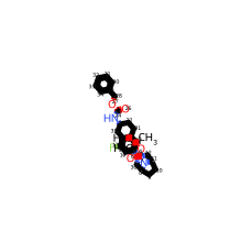 CC(C)(C)OC(=O)N1C2CCC1CN(c1cc(F)c3c(c1)CCC(NC(=O)OCc1ccccc1)C3)C2